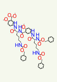 COC(=O)c1cc(NC(=O)[C@H](CCCCNC(=O)OCc2ccccc2)NC(=O)c2cc(NC(=O)[C@H](CCCCNC(=O)OCc3ccccc3)NC(=O)OCc3ccccc3)ccc2OC)ccc1OC